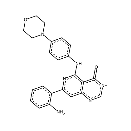 Nc1ccccc1-c1cc2nc[nH]c(=O)c2c(Nc2ccc(N3CCOCC3)cc2)n1